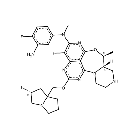 C[C@@H]1Oc2nc(N(C)c3ccc(F)c(N)c3)c(F)c3nc(OCC45CCCN4C[C@H](F)C5)nc(c23)N2CCNC[C@@H]12